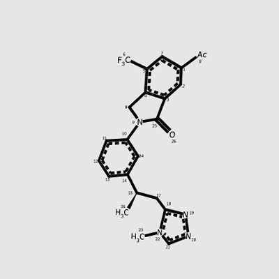 CC(=O)c1cc2c(c(C(F)(F)F)c1)CN(c1cccc([C@H](C)Cc3nncn3C)c1)C2=O